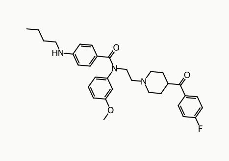 CCCCNc1ccc(C(=O)N(CCN2CCC(C(=O)c3ccc(F)cc3)CC2)c2cccc(OC)c2)cc1